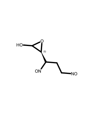 O=NCCC(N=O)[C@@H]1OC1O